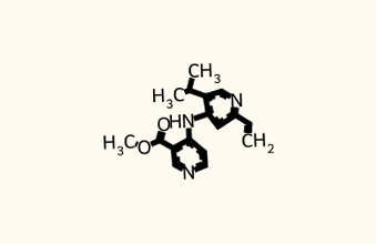 C=Cc1cc(Nc2ccncc2C(=O)OC)c(C(C)C)cn1